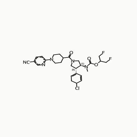 CN(C(=O)OC(CF)CF)[C@@H]1CN(C(=O)C2CCN(c3ccc(C#N)cn3)CC2)C[C@H]1C1=CCC(Cl)C=C1